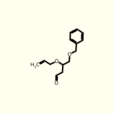 C=CCOC(CC=O)COCc1ccccc1